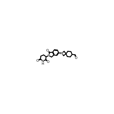 O=CC1CCC2(CC1)CN(c1ccc3c(c1)CN(C1CCC(=O)NC1=O)C3=O)C2